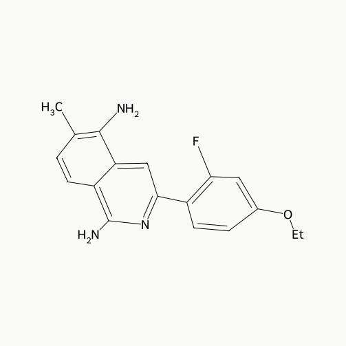 CCOc1ccc(-c2cc3c(N)c(C)ccc3c(N)n2)c(F)c1